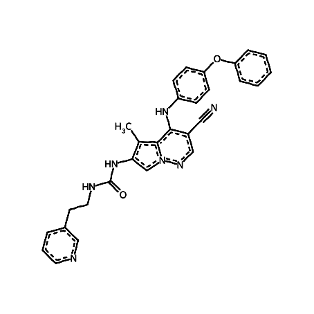 Cc1c(NC(=O)NCCc2cccnc2)cn2ncc(C#N)c(Nc3ccc(Oc4ccccc4)cc3)c12